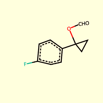 O=COC1(c2ccc(F)cc2)CC1